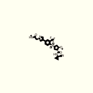 CNC(=O)Cn1cc(-c2ccc(S(=O)(=O)[C@H]3C[C@@H](OC)[C@H](C(=O)NC4(C#N)CC4)C3)c(C(F)(F)F)c2)cn1